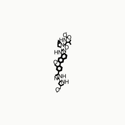 COC[C@@H]1CN[C@H](c2ncc(-c3ccc4c(c3)COc3cc5c(ccc6nc([C@@H]7CC8CC8N7C(=O)[C@@H](NC(=O)OC)C(C)C)[nH]c65)cc3-4)[nH]2)C1